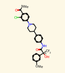 CNC(=O)c1ccc(N2CCC(c3ccc(NC(=O)[C@](O)(c4cccc(OC)c4)C(F)(F)F)cc3)CC2)cc1Cl